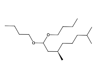 CCCCOC(C[C@H](C)CCCC(C)C)OCCCC